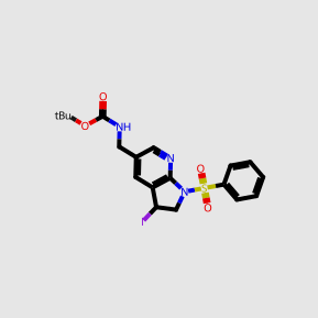 CC(C)(C)OC(=O)NCc1cnc2c(c1)C(I)CN2S(=O)(=O)c1ccccc1